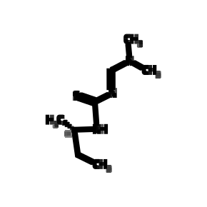 CC[C@H](C)NC(=S)N=CN(C)C